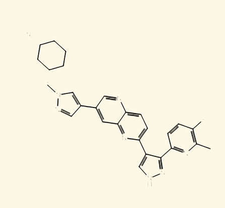 Cc1nc(-c2n[nH]cc2-c2ccc3ncc(-c4cnn(C[C@H]5CCC[C@@H](N)C5)c4)cc3n2)ccc1F